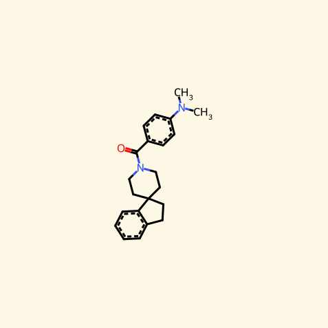 CN(C)c1ccc(C(=O)N2CCC3(CCc4ccccc43)CC2)cc1